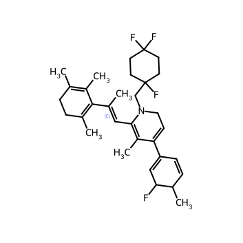 CC1=C(C)C(/C(C)=C/C2=C(C)C(C3=CC(F)C(C)C=C3)=CCN2CC2(F)CCC(F)(F)CC2)=C(C)CC1